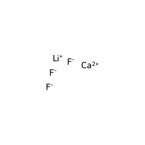 [Ca+2].[F-].[F-].[F-].[Li+]